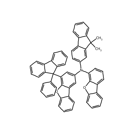 CC1(C)c2ccccc2-c2ccc(N(c3cc(C4(c5ccccc5)c5ccccc5-c5ccccc54)c4oc5ccccc5c4c3)c3cccc4c3oc3ccccc34)cc21